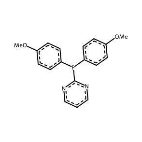 COc1ccc(P(c2ccc(OC)cc2)c2ncccn2)cc1